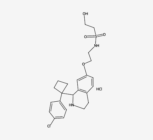 Cl.O=S(=O)(CCO)NCCOc1ccc2c(c1)C(C1(c3ccc(Cl)cc3)CCC1)NCC2